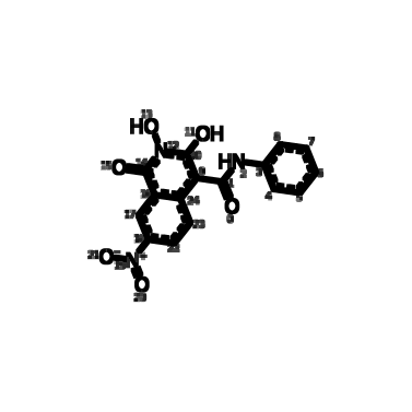 O=C(Nc1ccccc1)c1c(O)n(O)c(=O)c2cc([N+](=O)[O-])ccc12